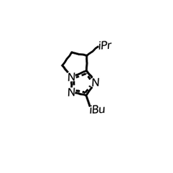 CCC(C)c1nc2n(n1)CCC2C(C)C